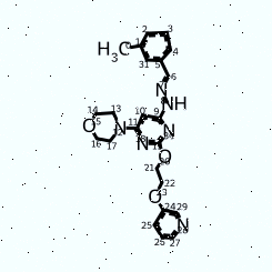 Cc1cccc(C=NNc2cc(N3CCOCC3)nc(OCCOc3cccnc3)n2)c1